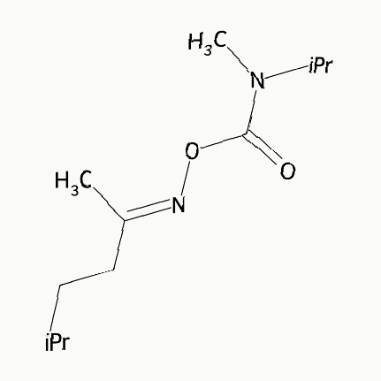 C/C(CCC(C)C)=N\OC(=O)N(C)C(C)C